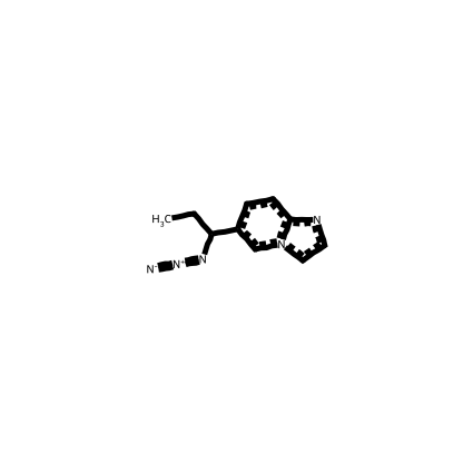 CCC(N=[N+]=[N-])c1ccc2nccn2c1